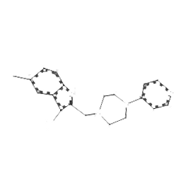 O=C(O)c1c(CN2CCN(c3ccncc3)CC2)[nH]c2ccc(Cl)cc12